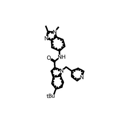 Cc1nc2cc(NC(=O)c3cc4cc(C(C)(C)C)ccc4n3Cc3ccncc3)ccc2n1C